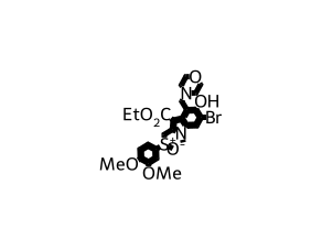 CCOC(=O)c1c(C[S+]([O-])c2ccc(OC)c(OC)c2)n(C)c2cc(Br)c(O)c(CN3CCOCC3)c12